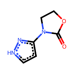 O=C1OCCN1c1cc[nH]n1